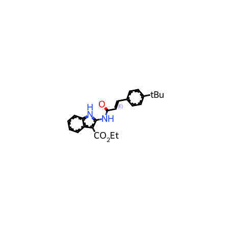 CCOC(=O)c1c(NC(=O)/C=C/c2ccc(C(C)(C)C)cc2)[nH]c2ccccc12